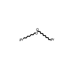 CC(C)CCCCCCCCC(=O)OCCCCCCCC(C)C